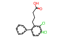 Cl.O=C(O)CCCc1c(Cl)cccc1-c1ccccc1